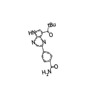 CC(C)(C)C(=O)c1c[nH]c2ncc(-c3ccc(C(N)=O)cc3)nc12